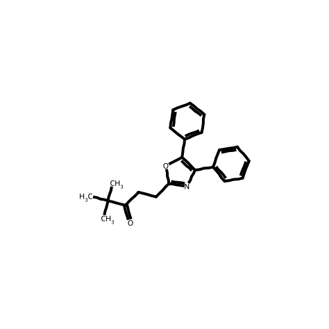 CC(C)(C)C(=O)CCc1nc(-c2ccccc2)c(-c2ccccc2)o1